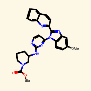 COc1ccc2c(c1)nc(-c1ccc3ccccc3n1)n2-c1ccnc(NC2CCCN(C(=O)OC(C)(C)C)C2)n1